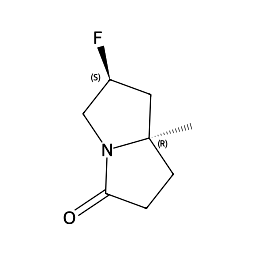 C[C@]12CCC(=O)N1C[C@@H](F)C2